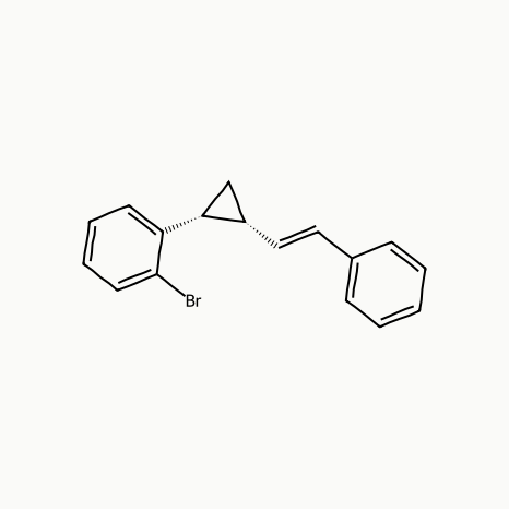 Brc1ccccc1[C@@H]1C[C@@H]1/C=C/c1ccccc1